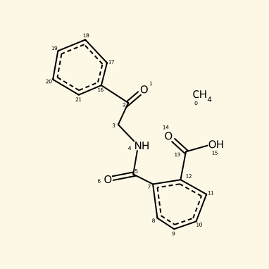 C.O=C(CNC(=O)c1ccccc1C(=O)O)c1ccccc1